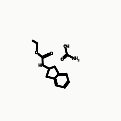 CCOC(=O)NC1Cc2ccccc2C1.NC(=O)O